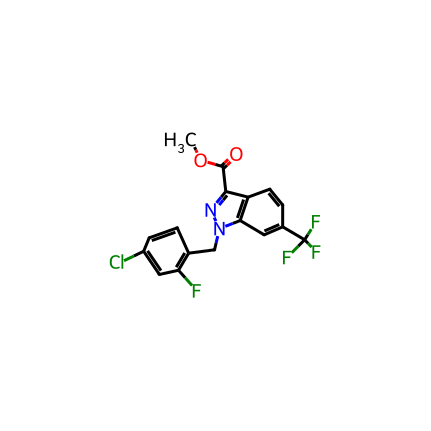 COC(=O)c1nn(Cc2ccc(Cl)cc2F)c2cc(C(F)(F)F)ccc12